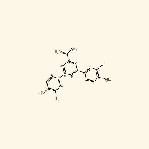 C=C(C)c1cc(-c2ccc(P)c(I)c2)cc(-c2ccc(P)c(I)c2)c1